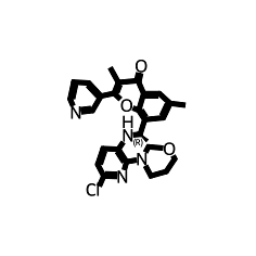 Cc1cc([C@@H](C)Nc2ccc(Cl)nc2N2CCCOC2)c2oc(-c3cccnc3)c(C)c(=O)c2c1